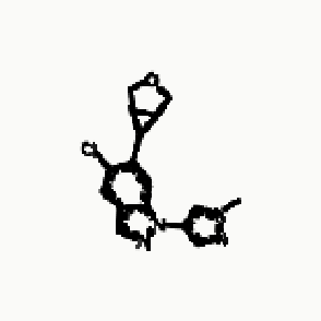 Cn1cc(-n2ncc3cc(Cl)c(C4C5COCC54)cc32)cn1